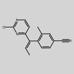 C/C=C(/c1ccnc(Cl)n1)c1ccc(C#N)cc1C